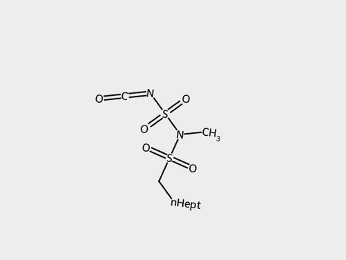 CCCCCCCCS(=O)(=O)N(C)S(=O)(=O)N=C=O